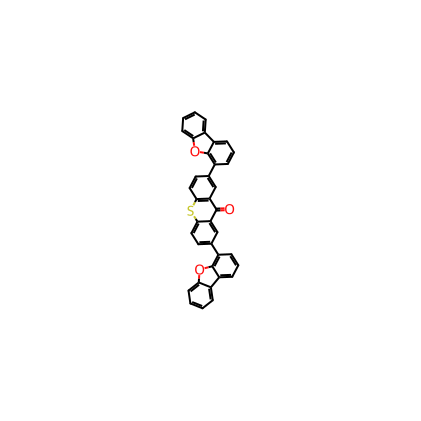 O=c1c2cc(-c3cccc4c3oc3ccccc34)ccc2sc2ccc(-c3cccc4c3oc3ccccc34)cc12